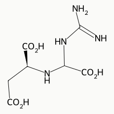 N=C(N)NC(N[C@@H](CC(=O)O)C(=O)O)C(=O)O